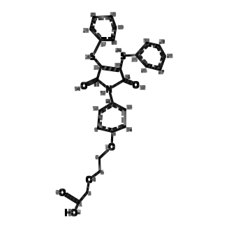 O=C(O)COCCOc1ccc(N2C(=O)C(Sc3ccccc3)=C(Sc3ccccc3)C2=O)cc1